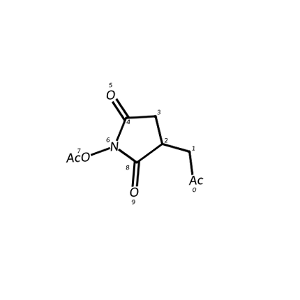 CC(=O)CC1CC(=O)N(OC(C)=O)C1=O